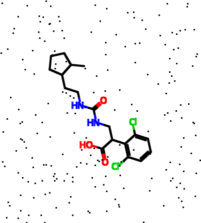 CC1CCCC1CCNC(=O)NCC(C(=O)O)c1c(Cl)cccc1Cl